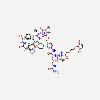 CO[C@H]([C@@H](C)C(=O)N[C@H](C)[C@@H](O)c1ccccc1)[C@@H]1CCCN1C(=O)C[C@@H](OC)[C@H](C1CCCCC1)N(C)C(=O)[C@@H](NC(=O)[C@H](C(C)C)N(C)C(=O)OCc1ccc(NC(=O)C(CCCNC(N)=O)NC(=O)[C@@H](NC(=O)CCCCCC2C(=O)C=CC2=O)C(C)C)cc1)C(C)C